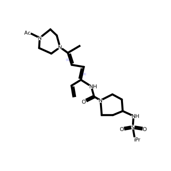 C=C/C(=C\C=C(/C)N1CCN(C(C)=O)CC1)NC(=O)N1CCC(NS(=O)(=O)C(C)C)CC1